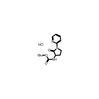 CC(C)(C)OC(=O)NC1CCN(c2ccccn2)C1=O.Cl